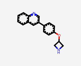 c1ccc2ncc(-c3ccc(OC4CNC4)cc3)cc2c1